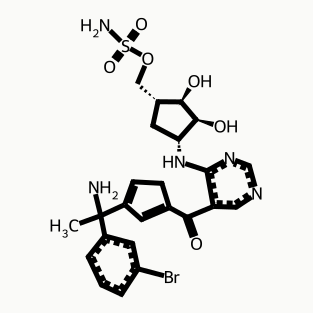 CC(N)(C1=CCC(C(=O)c2cncnc2N[C@@H]2C[C@H](COS(N)(=O)=O)[C@@H](O)[C@H]2O)=C1)c1cccc(Br)c1